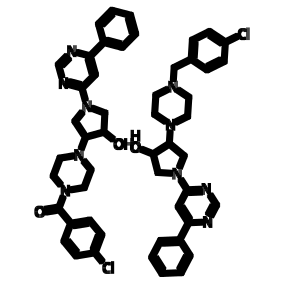 O=C(c1ccc(Cl)cc1)N1CCN(C2CN(c3cc(-c4ccccc4)ncn3)CC2O)CC1.OC1CN(c2cc(-c3ccccc3)ncn2)CC1N1CCN(Cc2ccc(Cl)cc2)CC1